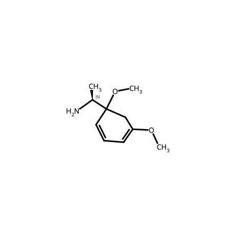 COC1=CC=CC(OC)([C@H](C)N)C1